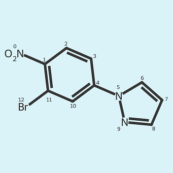 O=[N+]([O-])c1ccc(-n2cccn2)cc1Br